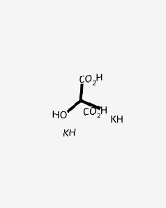 O=C(O)C(O)C(=O)O.[KH].[KH]